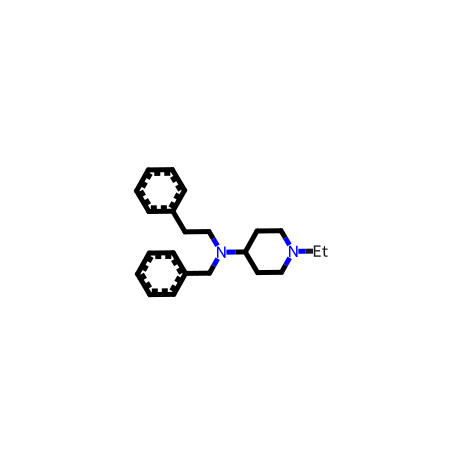 CCN1CCC(N(CCc2ccccc2)Cc2ccccc2)CC1